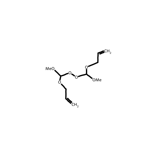 C=CCOC(OC)OOC(OC)OCC=C